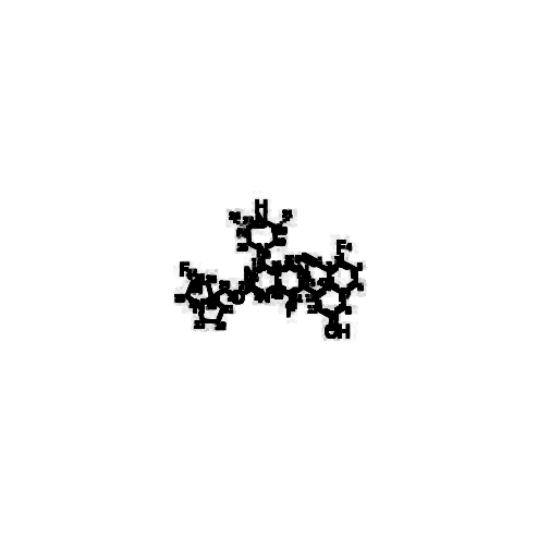 C#Cc1c(F)ccc2cc(O)cc(-c3ncc4c(N5C[C@@H](C)N[C@@H](C)C5)nc(OC[C@@]56CCCN5C[C@H](F)C6)nc4c3F)c12